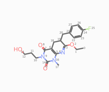 CCOC1=Nc2c(c(=O)n(CCCO)c(=O)n2C)CC1Cc1ccc(F)cc1